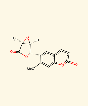 COc1cc2oc(=O)ccc2cc1[C@@H]1OC(=O)[C@@]2(C)O[C@@H]12